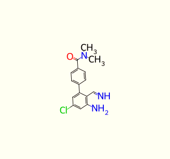 CN(C)C(=O)c1ccc(-c2cc(Cl)cc(N)c2C=N)cc1